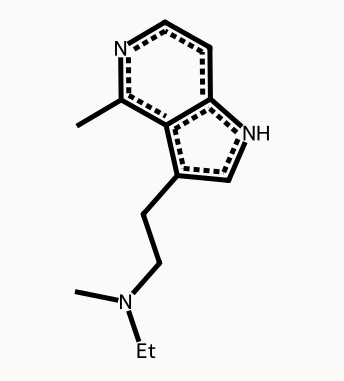 CCN(C)CCc1c[nH]c2ccnc(C)c12